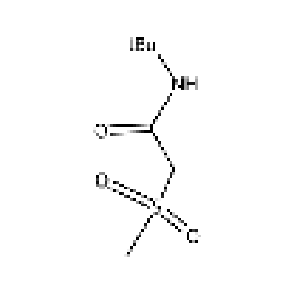 CC(C)(C)NC(=O)CS(C)(=O)=O